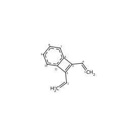 C=CC1=C(C=C)c2ccccc21